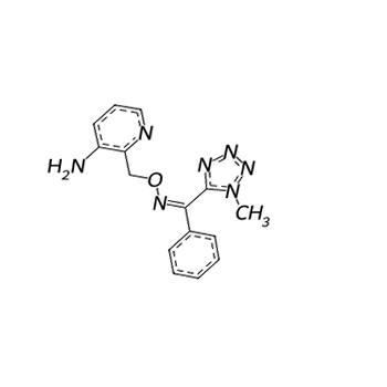 Cn1nnnc1C(=NOCc1ncccc1N)c1ccccc1